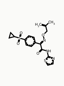 C=C(C)CO/N=C(/C(=O)Nc1nccs1)c1ccc(S(=O)(=O)C2CC2)cc1